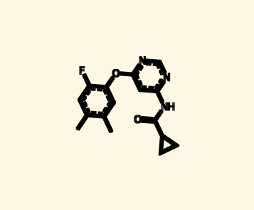 Cc1cc(F)c(Oc2cc(NC(=O)C3CC3)ncn2)cc1C